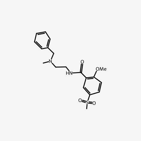 COc1ccc(S(C)(=O)=O)cc1C(=O)NCCN(C)Cc1ccccc1